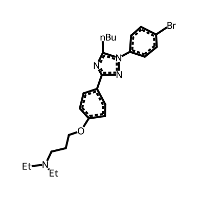 CCCCc1nc(-c2ccc(OCCCN(CC)CC)cc2)nn1-c1ccc(Br)cc1